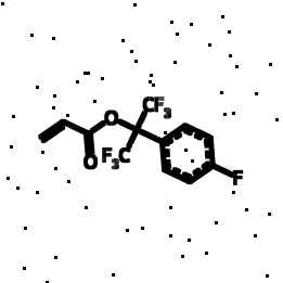 C=CC(=O)OC(c1ccc(F)cc1)(C(F)(F)F)C(F)(F)F